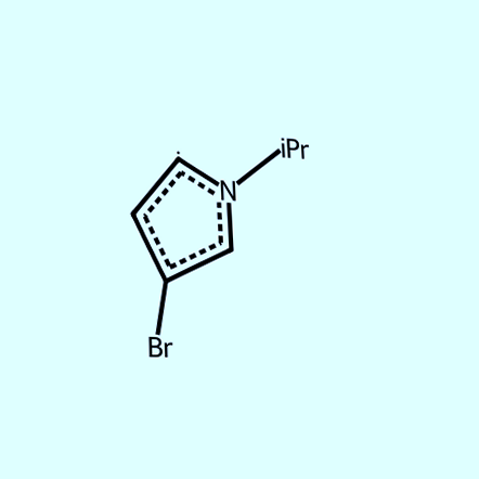 CC(C)n1[c]cc(Br)c1